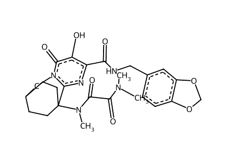 CN(C)C(=O)C(=O)N(C)C12CCC(CC1)Cn1c2nc(C(=O)NCc2ccc3c(c2)OCO3)c(O)c1=O